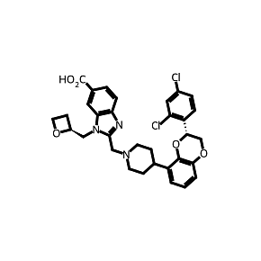 O=C(O)c1ccc2nc(CN3CCC(c4cccc5c4O[C@H](c4ccc(Cl)cc4Cl)CO5)CC3)n(C[C@@H]3CCO3)c2c1